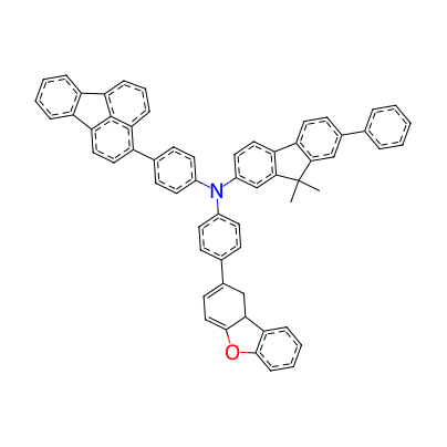 CC1(C)c2cc(-c3ccccc3)ccc2-c2ccc(N(c3ccc(C4=CC=C5Oc6ccccc6C5C4)cc3)c3ccc(-c4ccc5c6c(cccc46)-c4ccccc4-5)cc3)cc21